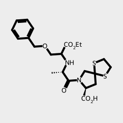 CCOC(=O)C(COCc1ccccc1)N[C@@H](C)C(=O)N1CC2(C[C@H]1C(=O)O)SCCS2